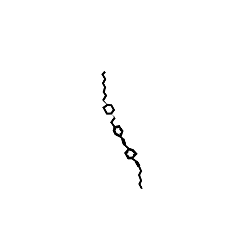 CCCCCC#Cc1ccc(C#Cc2ccc(CC[C@H]3CC[C@H](CCCCCCCC)CC3)cc2)cc1